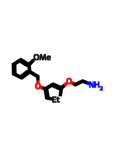 CC/C=C(\C=C(/C)OCCN)OCc1ccccc1OC